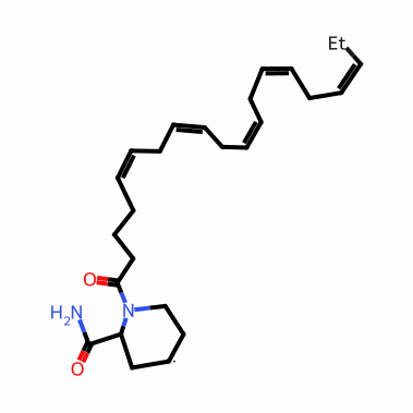 CC/C=C\C/C=C\C/C=C\C/C=C\C/C=C\CCCC(=O)N1CC[CH]CC1C(N)=O